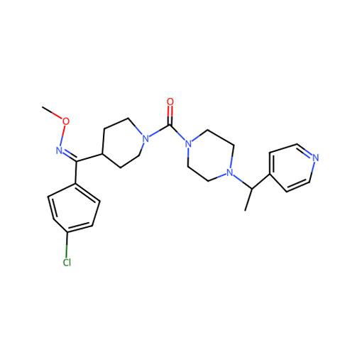 CON=C(c1ccc(Cl)cc1)C1CCN(C(=O)N2CCN(C(C)c3ccncc3)CC2)CC1